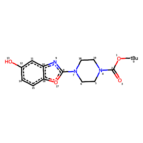 CC(C)(C)OC(=O)N1CCN(c2nc3cc(O)ccc3o2)CC1